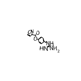 N=C(N)Nc1ccc(OC(=O)c2ccon2)cc1